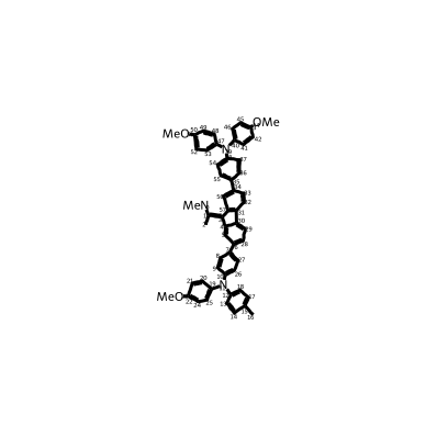 CN/C(C)=C1/c2cc(-c3ccc(N(c4ccc(C)cc4)c4ccc(OC)cc4)cc3)ccc2-c2ccc(-c3ccc(N(c4ccc(OC)cc4)c4ccc(OC)cc4)cc3)cc21